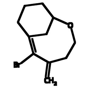 C=C1CCOC2CCC/C(=C/1Br)C2